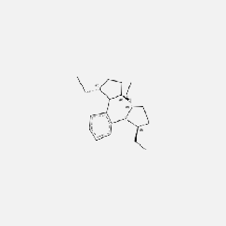 CC[C@@H]1CC[C@@H](I)C1c1ccccc1P1[C@H](CC)CC[C@H]1CC